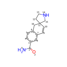 NC(=O)c1ccc2c(c1)C=CC1(CCNC1)C2